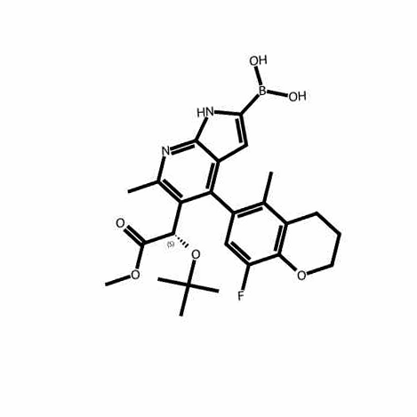 COC(=O)[C@@H](OC(C)(C)C)c1c(C)nc2[nH]c(B(O)O)cc2c1-c1cc(F)c2c(c1C)CCCO2